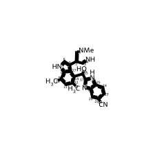 CN/C=C(\C=N)c1c[nH]c2c(C)cc(C)c(C(O)c3nc4cc(C#N)ccc4[nH]3)c12